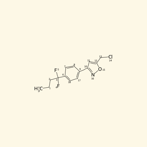 CCCC(F)(F)c1ccc(-c2cc(CCl)on2)cc1